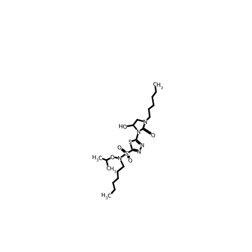 CCCCCCN1CC(O)N(c2nnc(S(=O)(=O)N(CCCCCC)OC(C)C)s2)C1=O